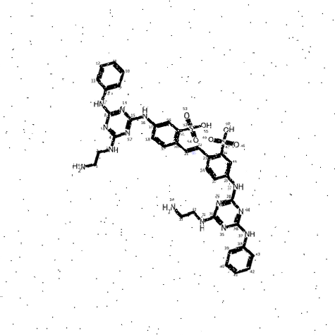 NCCNc1nc(Nc2ccccc2)nc(Nc2ccc(/C=C/c3ccc(Nc4nc(NCCN)nc(Nc5ccccc5)n4)cc3S(=O)(=O)O)c(S(=O)(=O)O)c2)n1